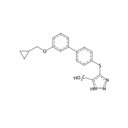 O=C(O)c1[nH]nnc1Sc1ccc(-c2cccc(OCC3CC3)c2)cc1